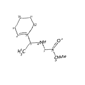 COC(=O)CNC(C)C1=CCCCC1